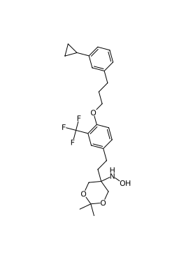 CC1(C)OCC(CCc2ccc(OCCCc3cccc(C4CC4)c3)c(C(F)(F)F)c2)(NO)CO1